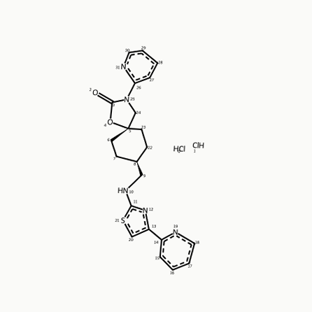 Cl.Cl.O=C1O[C@]2(CC[C@H](CNc3nc(-c4ccccn4)cs3)CC2)CN1c1ccccn1